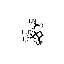 CC(C)(C)C1(OC(N)=O)CCC1O